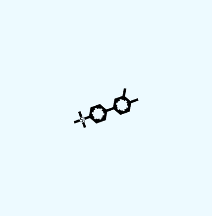 Cc1ccc(-c2ccc([Si](C)(C)C)cc2)cc1C